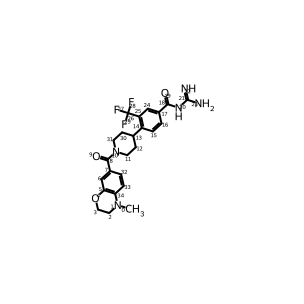 CN1CCOc2cc(C(=O)N3CCC(c4ccc(C(=O)NC(=N)N)cc4C(F)(F)F)CC3)ccc21